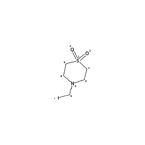 O=S1(=O)CCN(CI)CC1